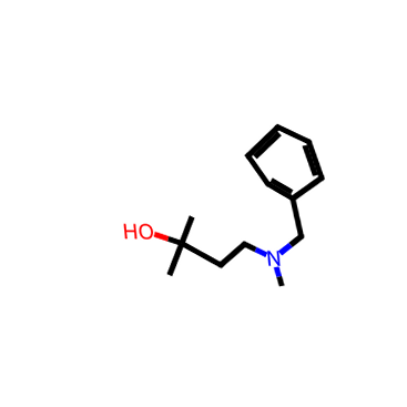 CN(CCC(C)(C)O)Cc1ccccc1